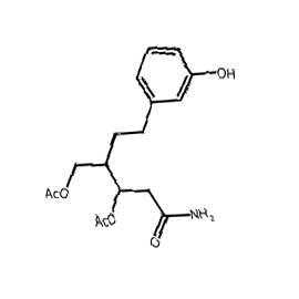 CC(=O)OCC(CCc1cccc(O)c1)C(CC(N)=O)OC(C)=O